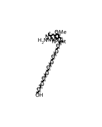 CCCCCNc1nc(N)nc(C)c1Cc1ccc(CN(C)CCOCCOCCOCCOCCOCCOCCOCCOCCOCCO)cc1OC